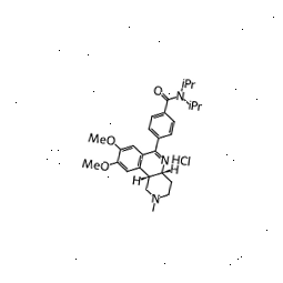 COc1cc2c(cc1OC)[C@H]1CN(C)CC[C@H]1N=C2c1ccc(C(=O)N(C(C)C)C(C)C)cc1.Cl